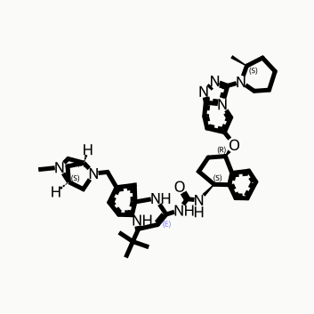 C[C@H]1CCCCN1c1nnc2ccc(O[C@@H]3CC[C@H](NC(=O)N/C(=C/C(=N)C(C)(C)C)Nc4cccc(CN5C[C@@H]6C[C@H]5CN6C)c4)c4ccccc43)cn12